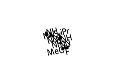 COc1nc(NC(=O)[C@H](Sc2nc(N)nc3nc[nH]c23)C(C)C)ncc1F